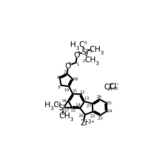 C[Si](C)(C)OCOC1=CCC(c2cc3c(c4c2[Si]4(C)C)[CH]([Zr+2])c2ccccc2-3)=C1.[Cl-].[Cl-]